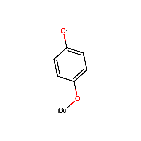 CCC(C)Oc1ccc([O])cc1